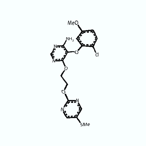 COc1ccc(Cl)c(Oc2c(N)ncnc2OCCOc2ncc(SC)cn2)c1